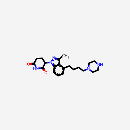 Cc1nn(C2CCC(=O)NC2=O)c2cccc(CCCCN3CCNCC3)c12